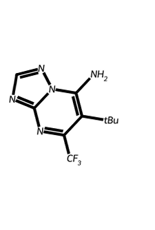 CC(C)(C)c1c(C(F)(F)F)nc2ncnn2c1N